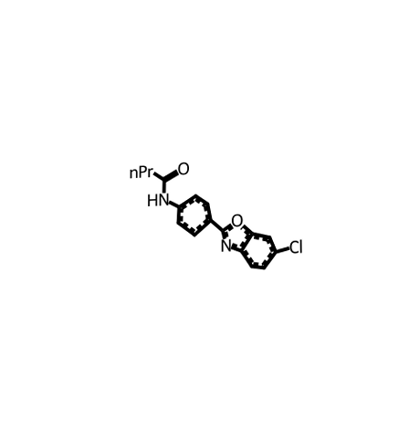 CCCC(=O)Nc1ccc(-c2nc3ccc(Cl)cc3o2)cc1